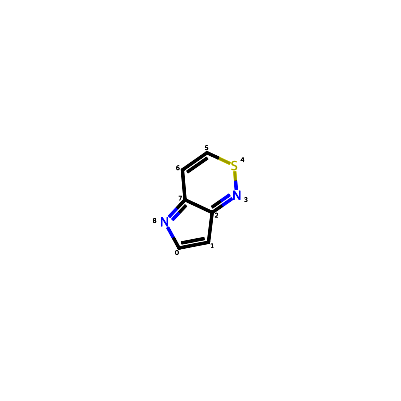 c1cc2nsccc-2n1